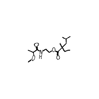 CCC(C)(CC(C)C)C(=O)OCCNC(=O)C(C)OC